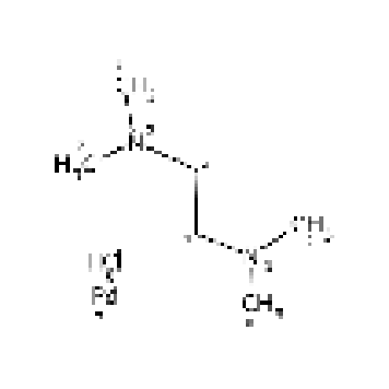 CN(C)CCN(C)C.Cl.[Pd]